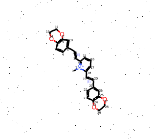 C[n+]1c(/C=C/c2ccc3c(c2)OCCO3)cccc1/C=C/c1ccc2c(c1)OCCO2